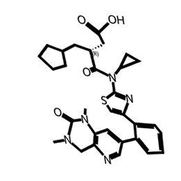 CN1Cc2ncc(-c3ccccc3-c3csc(N(C(=O)[C@@H](CC(=O)O)CC4CCCC4)C4CC4)n3)cc2N(C)C1=O